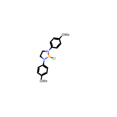 COc1ccc(N2CCN(c3ccc(OC)cc3)P2Cl)cc1